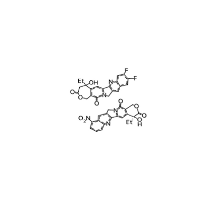 CCC1(O)CC(=O)OCc2c1cc1n(c2=O)Cc2cc3cc(F)c(F)cc3nc2-1.CC[C@@]1(O)C(=O)OCc2c1cc1n(c2=O)Cc2cc3c([N+](=O)[O-])cccc3nc2-1